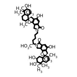 C[C@@H]1CCC2C(C)(C)[C@H](O)CC[C@]2(C)[C@@]12Cc1c(O)cc3c(c1O2)CN(CCCC[C@@H](C(=O)O)N1Cc2c(cc(O)c4c2O[C@]2(C4)[C@H](C)CCC4C(C)(C)[C@H](O)[C@H](O)C[C@@]42C)C1=O)C3=O